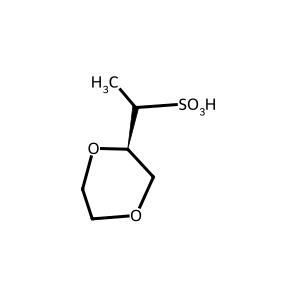 CC([C@H]1COCCO1)S(=O)(=O)O